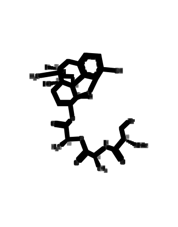 CC(=O)N[C@@H](CC(C)C)C(=O)N[C@@H](C)C(=O)O[C@@H](C)C(=O)OC1=CC[C@@]2(O)[C@H]3Cc4ccc(O)c5c4[C@@]2(CCN3C)[C@H]1O5